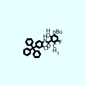 CCCCc1cc(F)c(C)c(C(=O)Nc2ccc(C(c3ccccc3)(c3ccccc3)c3ccccc3)cc2Cl)c1O